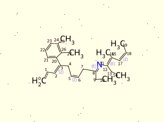 C=C/C=C(/C/C=C\C/C(CC)=N/C(CC)=C(C)/C=C\C)c1cccc(C)c1C